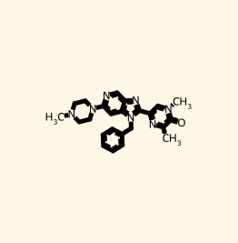 Cc1nc(-c2nc3cnc(N4CCN(C)CC4)cc3n2Cc2ccccc2)cn(C)c1=O